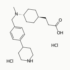 CN(Cc1ccc(C2CCNCC2)cc1)[C@H]1CC[C@H](CCC(=O)O)CC1.Cl.Cl